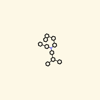 c1ccc(-c2ccc(N(c3ccc(-c4cc(-c5ccccc5)cc(-c5ccccc5)c4)cc3)c3cccc(-c4cccc(-c5cccc6ccccc56)c4)c3)cc2)cc1